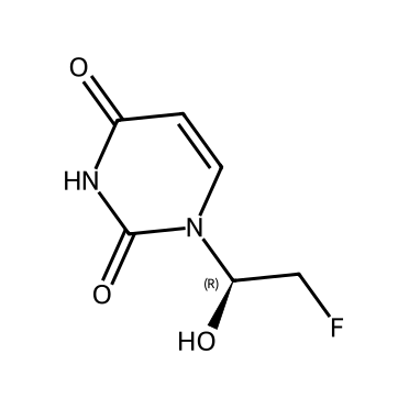 O=c1ccn([C@H](O)CF)c(=O)[nH]1